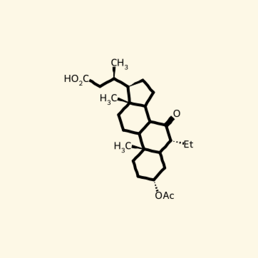 CC[C@H]1C(=O)C2C(CC[C@@]3(C)C2CC[C@@H]3[C@H](C)CC(=O)O)[C@@]2(C)CC[C@@H](OC(C)=O)CC12